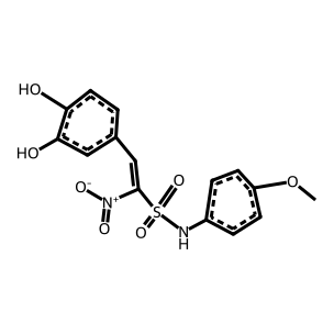 COc1ccc(NS(=O)(=O)C(=Cc2ccc(O)c(O)c2)[N+](=O)[O-])cc1